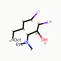 CCCCCCCCCCCCI.CCN(C)CC(O)CI